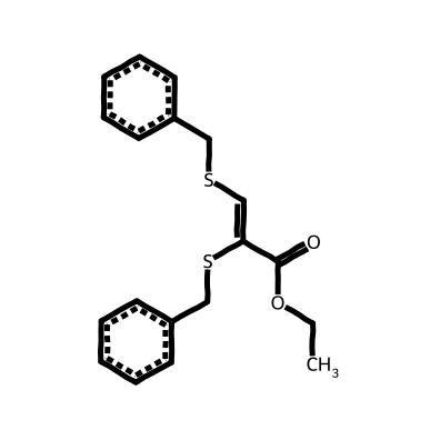 CCOC(=O)C(=CSCc1ccccc1)SCc1ccccc1